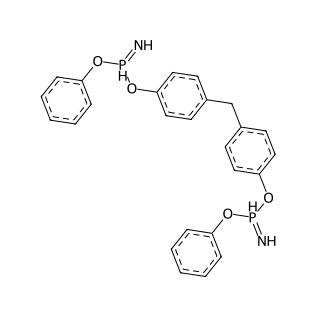 N=[PH](Oc1ccccc1)Oc1ccc(Cc2ccc(O[PH](=N)Oc3ccccc3)cc2)cc1